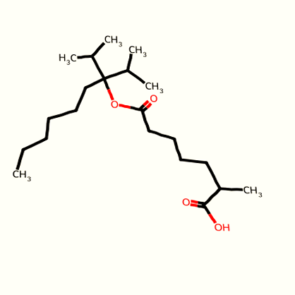 CCCCCCC(OC(=O)CCCCC(C)C(=O)O)(C(C)C)C(C)C